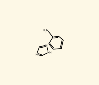 Nc1ccccc1.c1nc[nH]n1